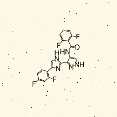 O=C(Nc1c[nH]nc1-c1nc(-c2ccc(F)cc2F)c[nH]1)c1c(F)cccc1F